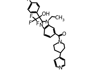 CCn1c(C(O)(c2ccc(F)cc2)C(F)(F)F)nc2ccc(C(=O)N3CCC(c4ccncc4)CC3)cc21